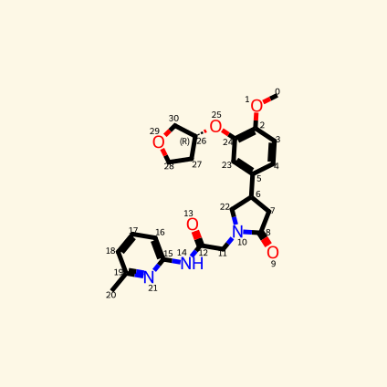 COc1ccc(C2CC(=O)N(CC(=O)Nc3cccc(C)n3)C2)cc1O[C@@H]1CCOC1